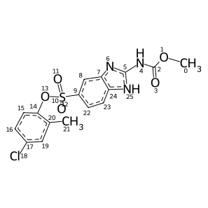 COC(=O)Nc1nc2cc(S(=O)(=O)Oc3ccc(Cl)cc3C)ccc2[nH]1